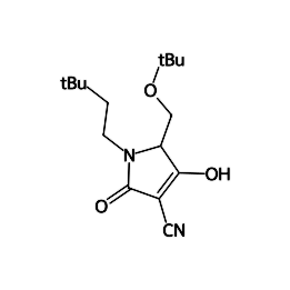 CC(C)(C)CCN1C(=O)C(C#N)=C(O)C1COC(C)(C)C